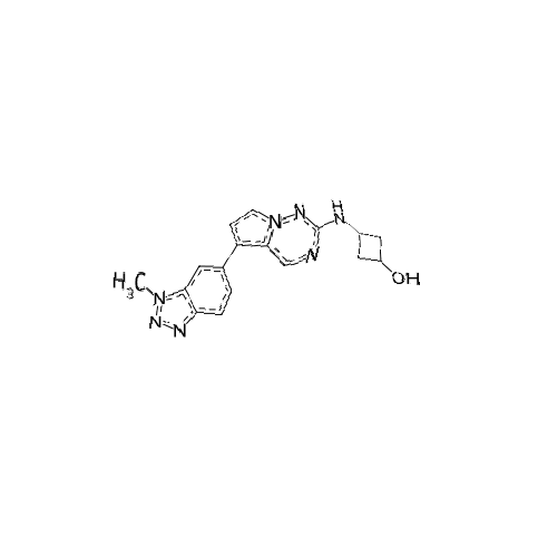 Cn1nnc2ccc(-c3ccn4nc(NC5CC(O)C5)ncc34)cc21